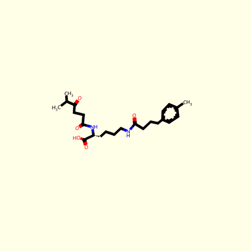 Cc1ccc(CCCC(=O)NCCCC[C@@H](NC(=O)CCC(=O)C(C)C)C(=O)O)cc1